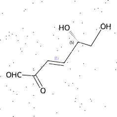 O=CC(=O)/C=C/[C@H](O)CO